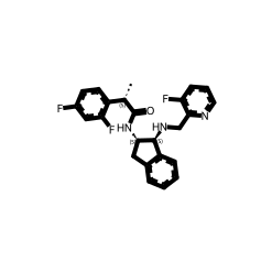 C[C@H](C(=O)N[C@H]1Cc2ccccc2[C@@H]1NCc1ncccc1F)c1ccc(F)cc1F